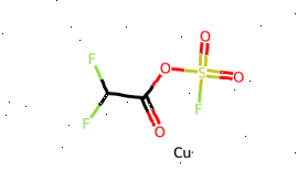 O=C(OS(=O)(=O)F)C(F)F.[Cu]